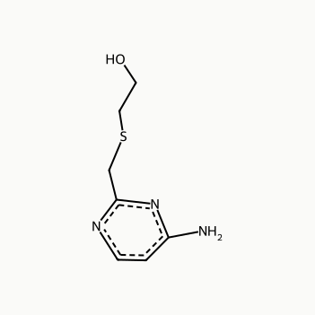 Nc1ccnc(CSCCO)n1